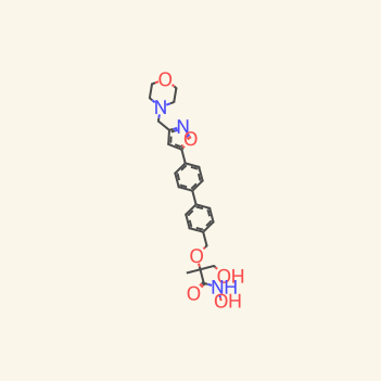 CC(CO)(OCc1ccc(-c2ccc(-c3cc(CN4CCOCC4)no3)cc2)cc1)C(=O)NO